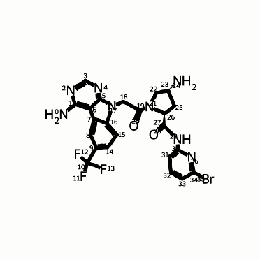 Nc1ncnc2c1c1cc(C(F)(F)F)ccc1n2CC(=O)N1C[C@H](N)C[C@H]1C(=O)Nc1cccc(Br)n1